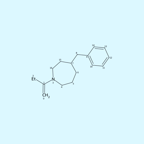 C=C(CC)N1CCCC(Cc2ccccc2)CC1